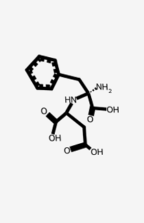 N[C@@](Cc1ccccc1)(NC(CC(=O)O)C(=O)O)C(=O)O